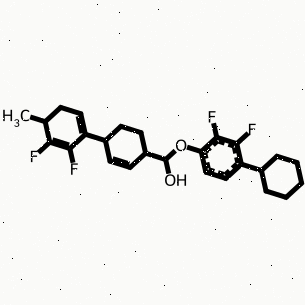 CC1CC=C(C2C=CC(C(O)Oc3ccc(C4CCCCC4)c(F)c3F)CC2)C(F)=C1F